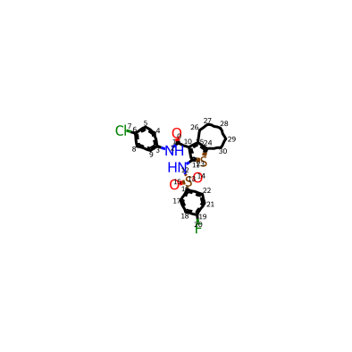 O=C(Nc1ccc(Cl)cc1)c1c(NS(=O)(=O)c2ccc(F)cc2)sc2c1CCCCC2